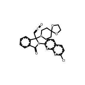 O=C=CC1(N2CCC3(CC2)OCCO3)c2ccccc2C(=O)N1c1ccc2ccc(Cl)nc2n1